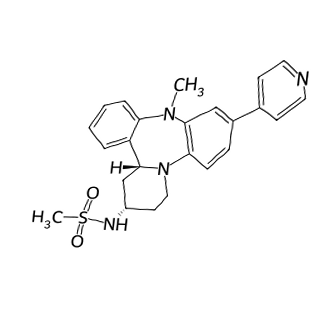 CN1c2ccccc2[C@H]2C[C@@H](NS(C)(=O)=O)CCN2c2ccc(-c3ccncc3)cc21